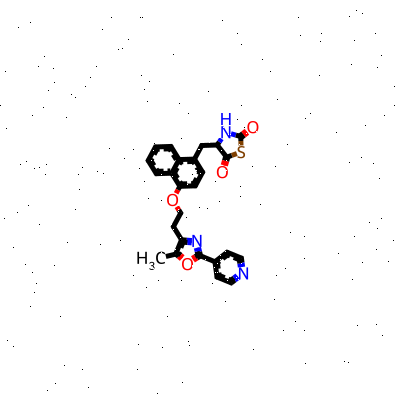 Cc1oc(-c2ccncc2)nc1CCOc1ccc(CC2NC(=O)SC2=O)c2ccccc12